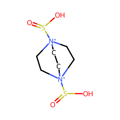 O=S(O)[N+]12CC[N+](S(=O)O)(CC1)CC2